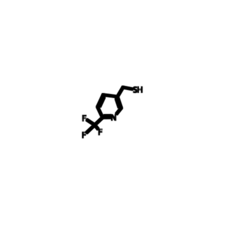 FC(F)(F)c1ccc(CS)cn1